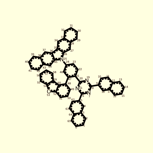 c1ccc2cc(-c3nc(-c4ccc5ccccc5c4)nc(-c4ccc(-n5c6cc7ccccc7cc6c6cc7ccccc7cc65)cc4-c4cccc5oc6ccccc6c45)n3)ccc2c1